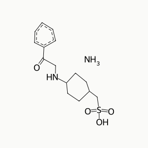 N.O=C(CNC1CCC(CS(=O)(=O)O)CC1)c1ccccc1